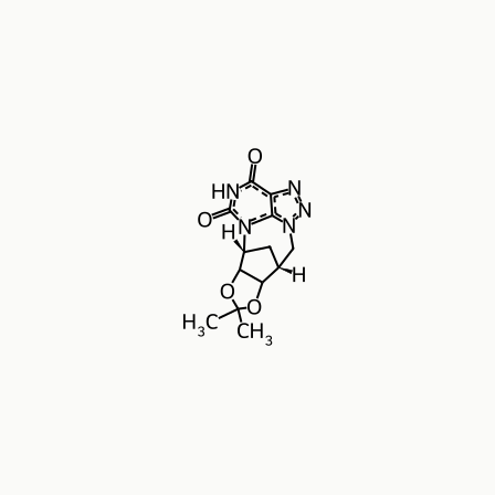 CC1(C)OC2C(O1)[C@H]1C[C@@H]2Cn2nnc3c(=O)[nH]c(=O)n1c32